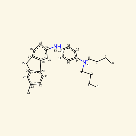 CCCCN(CCCC)c1ccc(Nc2ccc3c(c2)-c2ccc(C)cc2C3)cc1